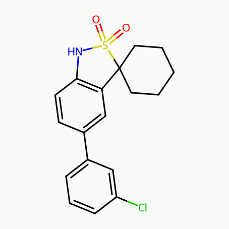 O=S1(=O)Nc2ccc(-c3cccc(Cl)c3)cc2C12CCCCC2